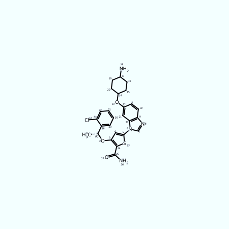 C[C@@H](Oc1cc(-n2cnc3ccc(OC4CCC(N)CC4)cc32)sc1C(N)=O)c1ccccc1Cl